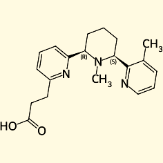 Cc1cccnc1[C@@H]1CCC[C@H](c2cccc(CCC(=O)O)n2)N1C